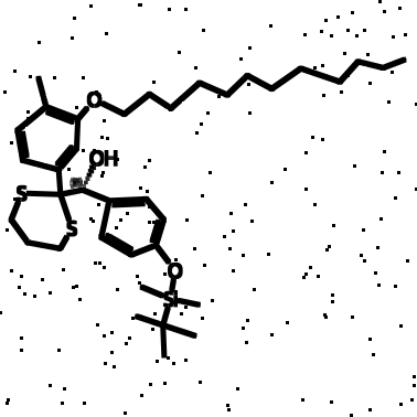 CCCCCCCCCCCCOc1cc(C2([C@H](O)c3ccc(O[Si](C)(C)C(C)(C)C)cc3)SCCCS2)ccc1C